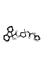 C[N@@+]1(CC(=O)Nc2ccon2)CCC(OC(=O)C2(O)c3ccccc3-c3ccccc32)C1